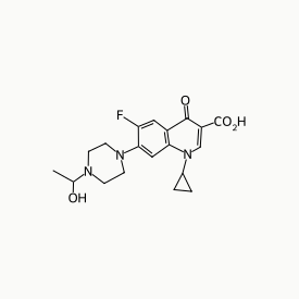 CC(O)N1CCN(c2cc3c(cc2F)c(=O)c(C(=O)O)cn3C2CC2)CC1